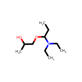 CCC(OCC(C)O)N(CC)CC